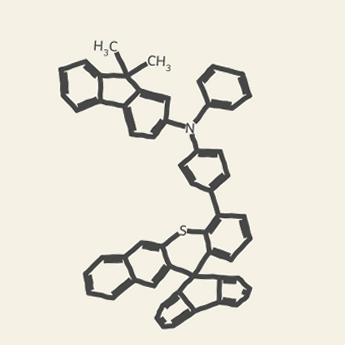 CC1(C)c2ccccc2-c2ccc(N(c3ccccc3)c3ccc(-c4cccc5c4Sc4cc6ccccc6cc4C54c5ccccc5-c5ccccc54)cc3)cc21